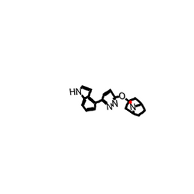 CN1C2CCC1CC(Oc1ccc(-c3cccc4[nH]ccc34)nn1)C2